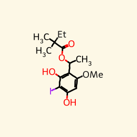 CCC(C)(C)C(=O)OC(C)c1c(OC)cc(O)c(I)c1O